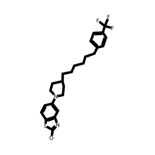 [O]c1nc2cc(N3CCC(CCCCCCc4ccc(C(F)(F)F)cc4)CC3)ccc2s1